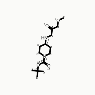 COCC(=O)CNC1CCN(C(=O)OC(C)(C)C)CC1